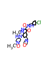 CC(=O)N1CCC(Nc2cc(CN3CCOCC3)cc3c(=O)c(C(=O)NCc4ccc(Cl)cc4)nn(C)c23)CC1